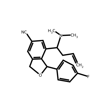 C=CCC(c1cc(C#N)cc2c1C(c1ccc(F)cc1)OC2)N(C)C